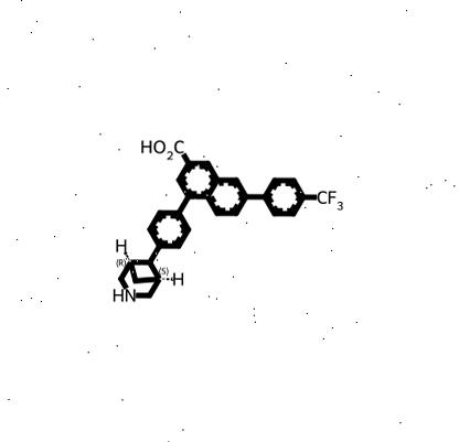 O=C(O)c1cc(-c2ccc(C3[C@@H]4CNC[C@H]3C4)cc2)c2ccc(-c3ccc(C(F)(F)F)cc3)cc2c1